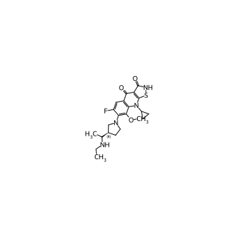 CCNC(C)[C@@H]1CCN(c2c(F)cc3c(=O)c4c(=O)[nH]sc4n(C4CC4)c3c2OC)C1